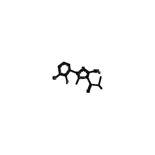 Cc1c(C(=O)C(C)C)c(N)nn1-c1cccc(Cl)c1F